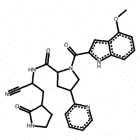 COc1cccc2[nH]c(C(=O)N3CC(c4ccccn4)CC3C(=O)NC(C#N)CC3CCNC3=O)cc12